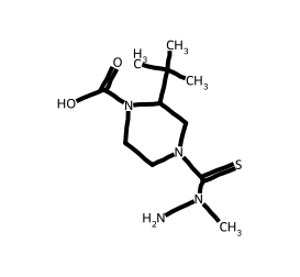 CN(N)C(=S)N1CCN(C(=O)O)C(C(C)(C)C)C1